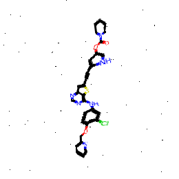 O=C(OC1CNC(C#Cc2cc3ncnc(Nc4ccc(OCc5ccccn5)c(Cl)c4)c3s2)C1)N1CCCCC1